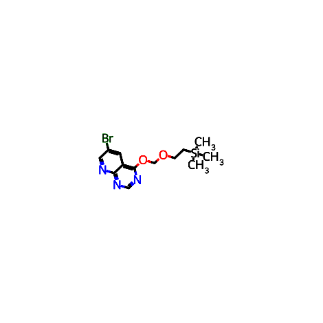 C[Si](C)(C)CCOCOc1ncnc2ncc(Br)cc12